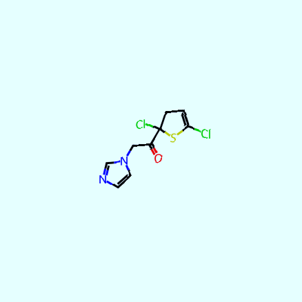 O=C(Cn1ccnc1)C1(Cl)CC=C(Cl)S1